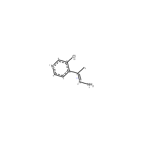 C/C(=N\N)c1ccncc1Cl